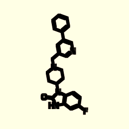 O=c1[nH]c2cc(F)ccc2n1C1CCN(Cc2cncc(-c3ccccc3)c2)CC1